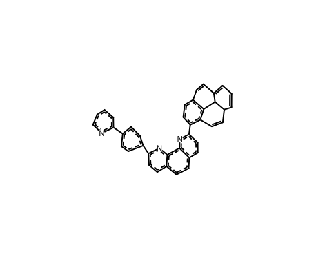 C1=CC2C=Cc3c(-c4ccc5ccc6ccc(-c7ccc(-c8ccccn8)cc7)nc6c5n4)ccc4c3C2C(=C1)C=C4